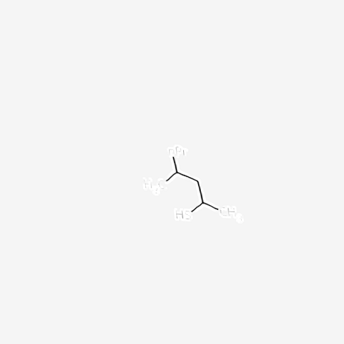 CCCC(C)CC(C)S